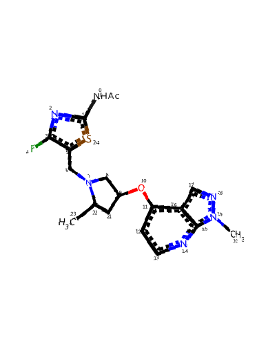 CC(=O)Nc1nc(F)c(CN2CC(Oc3ccnc4c3cnn4C)CC2C)s1